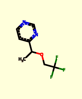 CC(OCC(F)(F)F)c1ccncn1